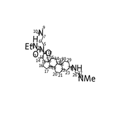 CCNC(=O)N(CCCN(C)C)C(=O)C(C)C1CCC2C3CCC4CC(NCCNC)CCC4(C)C3CCC12C